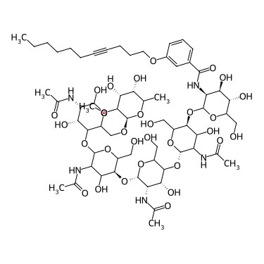 CCCCCCC#CCCCOc1cccc(C(=O)N[C@@H]2C(O[C@@H]3C(CO)O[C@@H](OC4C(CO)O[C@@H](O[C@@H]5C(CO)OC(OC6C(CO[C@@H]7OC(C)[C@@H](O)[C@@H](O)C7OC)OC(O)[C@@H](NC(C)=O)[C@H]6O)C(NC(C)=O)C5O)[C@@H](NC(C)=O)[C@H]4O)C(NC(C)=O)C3O)OC(CO)[C@@H](O)[C@@H]2O)c1